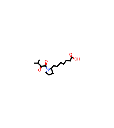 CC(C)C(=O)C(=O)N1CCCC1CCCCCCC(=O)O